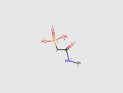 CC(C)NC(=O)CP(=O)(O)O